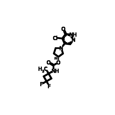 CC1(NC(=O)O[C@@H]2CCN(c3cn[nH]c(=O)c3Cl)C2)CC(F)(F)C1